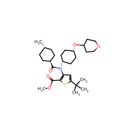 COC(=O)c1sc(C(C)(C)C)cc1N(C(=O)[C@H]1CC[C@H](C)CC1)[C@H]1CC[C@@H](OC2CCOCC2)CC1